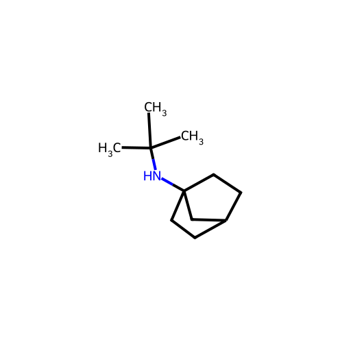 CC(C)(C)NC12CCC(CC1)C2